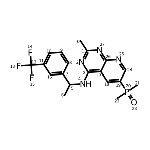 Cc1nc(NC(C)c2cccc(C(F)(F)F)c2)c2cc(P(C)(C)=O)cnc2n1